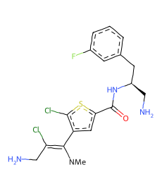 CN/C(=C(/Cl)CN)c1cc(C(=O)N[C@H](CN)Cc2cccc(F)c2)sc1Cl